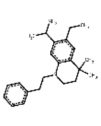 CCc1cc2c(cc1C(C)N)N(CCc1ccccc1)CCC2(C)C